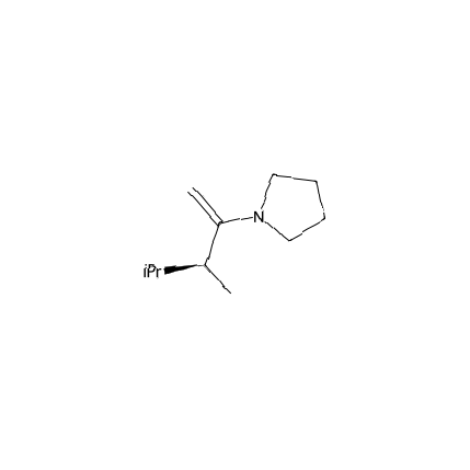 C=C([C@@H](C)C(C)C)N1CCCC1